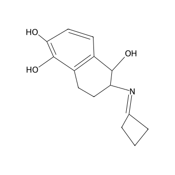 Oc1ccc2c(c1O)CCC(N=C1CCC1)C2O